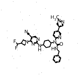 Cn1cc(-c2ccc(N(C(=O)NCc3ccccc3)C3CCC(Nc4ncc(C#N)c(N5CC(C(F)F)C5)n4)CC3)nc2)cn1